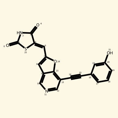 O=C1NC(=O)/C(=C/c2cc3cncc(C#Cc4cccc(O)c4)c3o2)S1